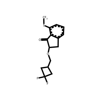 O=C1c2c(cccc2SC(F)(F)F)CC1OCC1CC(F)(F)C1